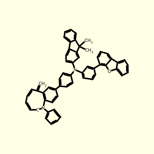 C=C1/C=C\C=C/CN(c2ccccc2)c2ccc(-c3ccc(N(c4cccc(-c5cccc6c5oc5ccccc56)c4)c4ccc5c(c4)C(C)(C)c4ccccc4-5)cc3)cc21